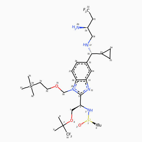 CC(C)(C)[S@@+]([O-])N[C@@H](COC(C)(C)C(F)(F)F)c1nc2cc([C@H](NC[C@@H](N)CC(F)(F)F)C3CC3)ccc2n1COCC[Si](C)(C)C